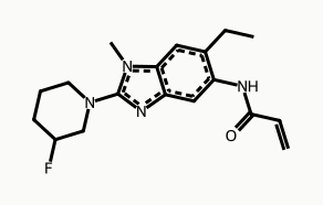 C=CC(=O)Nc1cc2nc(N3CCCC(F)C3)n(C)c2cc1CC